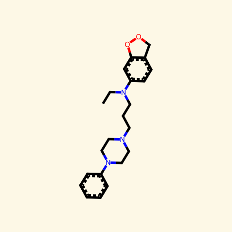 CCN(CCCN1CCN(c2ccccc2)CC1)c1ccc2c(c1)OOC2